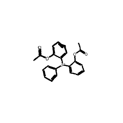 CC(=O)Oc1ccccc1[S+](c1ccccc1)c1ccccc1OC(C)=O